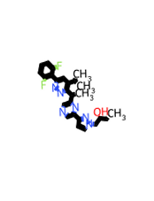 CC[C@H](O)Cn1ccc(-c2cncc(C(C)c3nnc(-c4c(F)cccc4F)cc3C(C)C)n2)n1